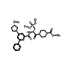 CCCCOC(=O)N1CCN(C(=O)[C@H](CP(=O)(OCC)OCC)NC(=O)c2cc(N3CC[C@H](OC)C3)cc(-c3ccccc3)n2)CC1